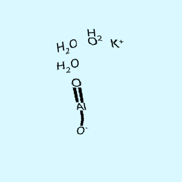 O.O.O.[K+].[O]=[Al][O-]